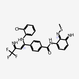 CS/N=C1\C(=N)C=CC=C1NC(=O)c1ccc(/C(=C/C(=N)C(F)(F)F)Nc2ccccc2Cl)cc1